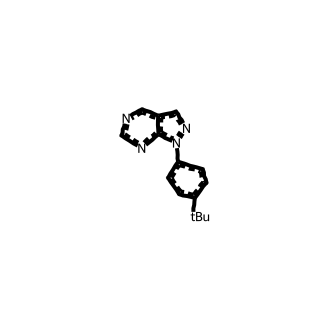 CC(C)(C)c1ccc(-n2ncc3cncnc32)cc1